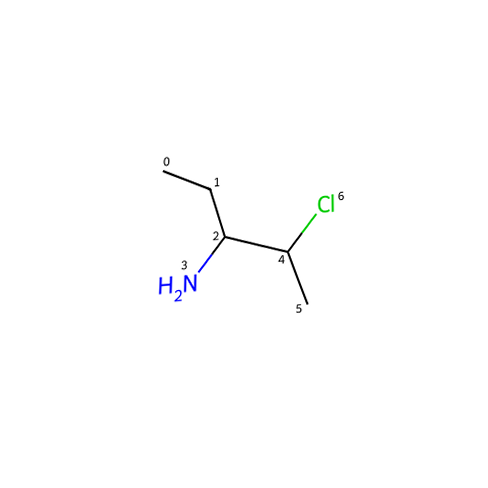 CCC(N)C(C)Cl